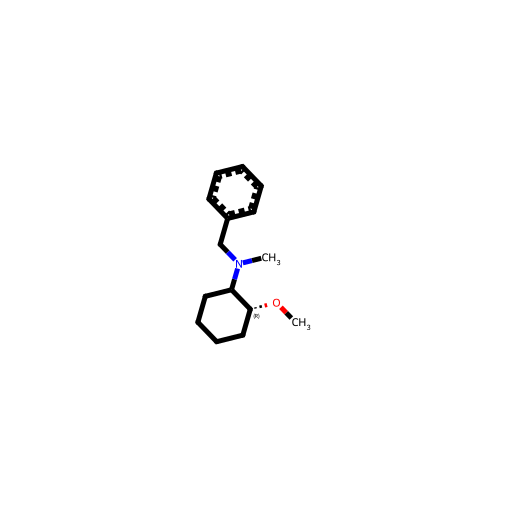 CO[C@@H]1CCCCC1N(C)Cc1ccccc1